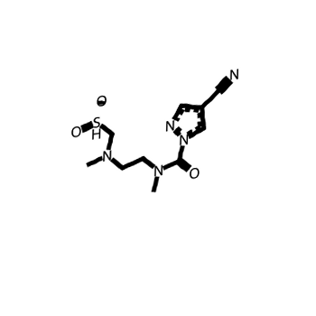 CN(CCN(C)C(=O)n1cc(C#N)cn1)C[SH](=O)=O